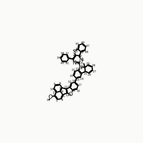 COc1ccc2c3c(cccc13)-c1c-2oc2ccc(-c3ccc4c(c3)C3C=CC=CC3(C)N4c3nc(-c4ccccc4)c4sc5ccccc5c4n3)cc12